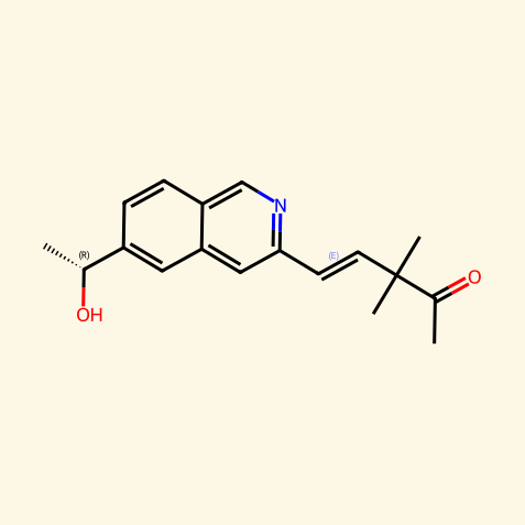 CC(=O)C(C)(C)/C=C/c1cc2cc([C@@H](C)O)ccc2cn1